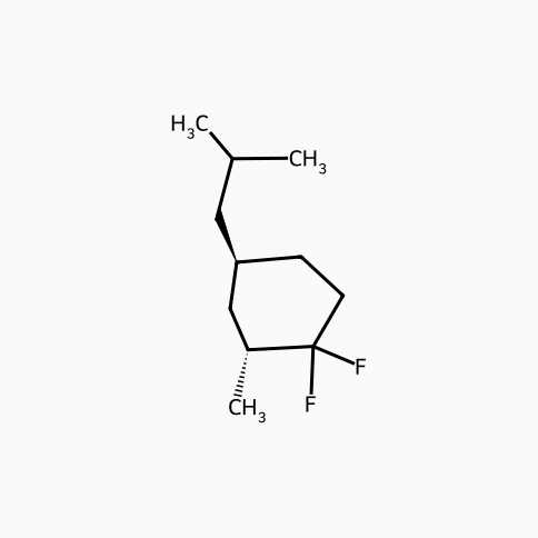 CC(C)C[C@H]1CCC(F)(F)[C@H](C)C1